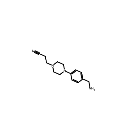 N#CCCN1CCN(c2ccc(CN)cc2)CC1